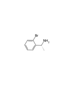 C[C@@H](N)c1ccccc1Br